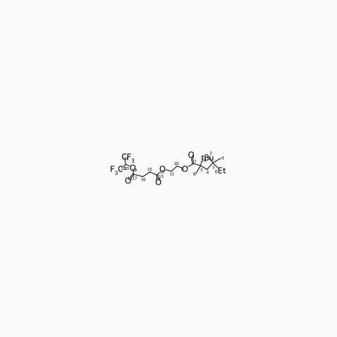 CCC(C)(C)CC(C)(C(=O)OCCOC(=O)CCC(=O)OC(C(F)(F)F)C(F)(F)F)C(C)(C)C